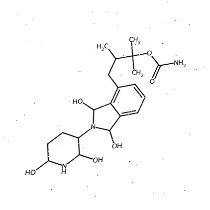 CC(Cc1cccc2c1C(O)N(C1CCC(O)NC1O)C2O)C(C)(C)OC(N)=O